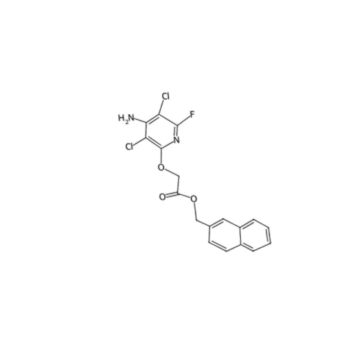 Nc1c(Cl)c(F)nc(OCC(=O)OCc2ccc3ccccc3c2)c1Cl